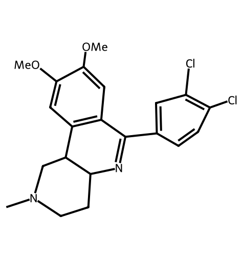 COc1cc2c(cc1OC)C1CN(C)CCC1N=C2c1ccc(Cl)c(Cl)c1